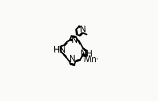 C1=Cc2cc3ccc(cc4nc(cc5ccc(cc1n2)[nH]5)C=C4)[nH]3.Cc1ccccn1.[Mn]